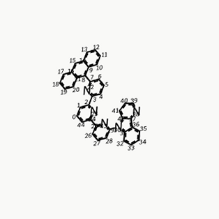 c1cc(-c2cccc(-c3c4ccccc4cc4ccccc34)n2)nc(-c2cccc(-n3c4ccccc4c4ncccc43)n2)c1